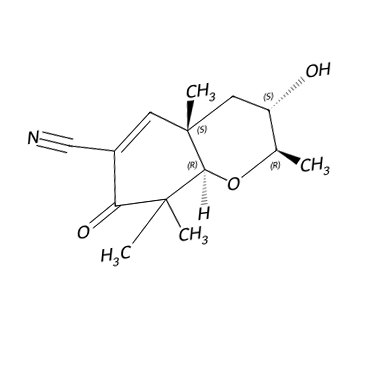 C[C@H]1O[C@H]2C(C)(C)C(=O)C(C#N)=C[C@]2(C)C[C@@H]1O